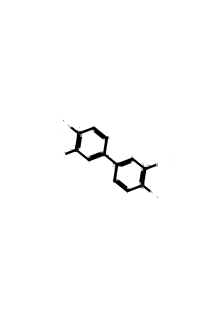 Nc1ccc(-c2ccc(N)c(F)c2)cc1F